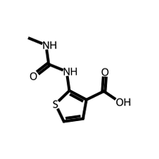 CNC(=O)Nc1sccc1C(=O)O